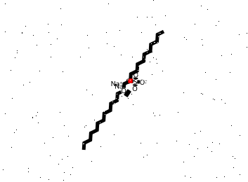 C=C.CCCCCCCCCCCCOCCCCCCCCCCCC.O=S(=O)([O-])[O-].[Na+].[Na+]